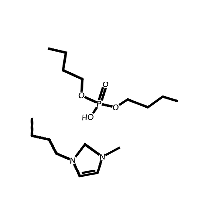 CCCCN1C=CN(C)C1.CCCCOP(=O)(O)OCCCC